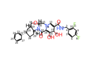 O=C(NCc1ccc(F)cc1F)C1=CN2C[C@H]3OC[C@@H]4C[C@@H](c5ccccc5)CC[C@@H]4N3C(=O)C2=C(O)C1O